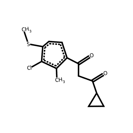 CSc1ccc(C(=O)CC(=O)C2CC2)c(C)c1Cl